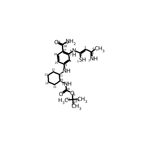 CC(=N)/C=C(\S)Nc1cc(N[C@@H]2CCCC[C@@H]2NC(=O)OC(C)(C)C)ccc1C(N)=O